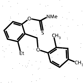 CCc1cccc(OC(=S)NC)c1COc1ccc(C)cc1C